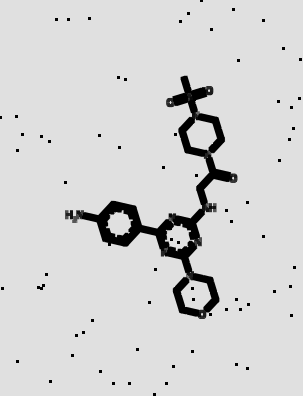 CS(=O)(=O)N1CCN(C(=O)CNc2nc(-c3ccc(N)cc3)nc(N3CCOCC3)n2)CC1